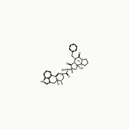 CN1C[C@](O)(C(=O)N[C@@]2(C)O[C@@]3(O)[C@@H]4CCCN4C(=O)[C@H](Cc4ccccc4)N3C2=O)C=C2c3cccc4[nH]cc(c34)C[C@H]21